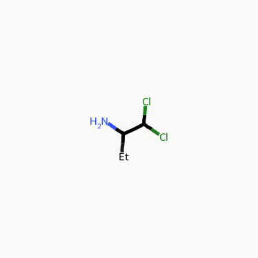 CC[C](N)C(Cl)Cl